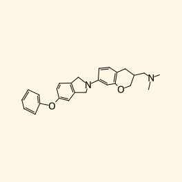 CN(C)CC1COc2cc(N3Cc4ccc(Oc5ccccc5)cc4C3)ccc2C1